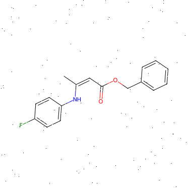 CC(=CC(=O)OCc1ccccc1)Nc1ccc(F)cc1